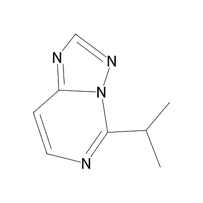 CC(C)c1nccc2ncnn12